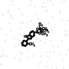 Cc1ccncc1-c1cc2cc(B3OC(C)(C)C(C)(C)O3)ccc2[nH]1